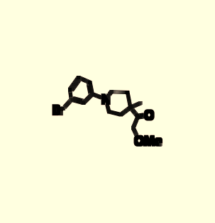 COCC(=O)C1(C)CCN(c2cccc(Br)c2)CC1